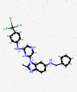 Cc1nc2ccc(NCc3ccccc3)cc2n1-c1cncc(Nc2ccc(C(F)(F)F)cc2)n1